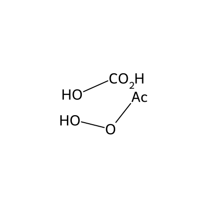 CC(=O)OO.O=C(O)O